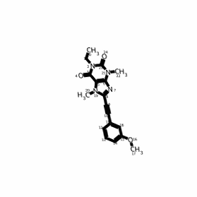 CCn1c(=O)c2c(nc(C#Cc3cccc(OC)c3)n2C)n(C)c1=O